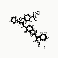 COC(=O)C1CCC(OC(F)(C(=O)Cc2ccc3nc(-c4cn(C)c5ccccc45)oc3c2F)N2CCCC2)CC1